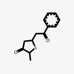 CC1SC(CC(=O)c2ccccc2)CC1=O